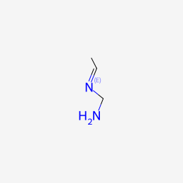 C/C=N/CN